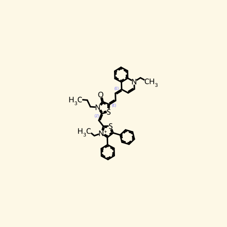 CCCn1c(=O)/c(=C\C=C2/C=CN(CC)c3ccccc32)s/c1=C\c1sc(-c2ccccc2)c(-c2ccccc2)[n+]1CC